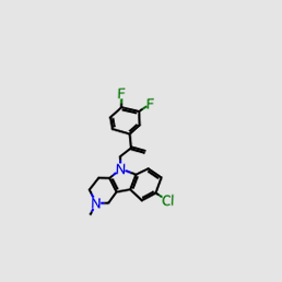 C=C(Cn1c2c(c3cc(Cl)ccc31)CN(C)CC2)c1ccc(F)c(F)c1